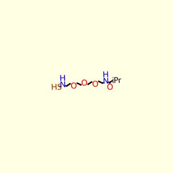 CC(C)C(=O)NCCOCCOCCOCCNS